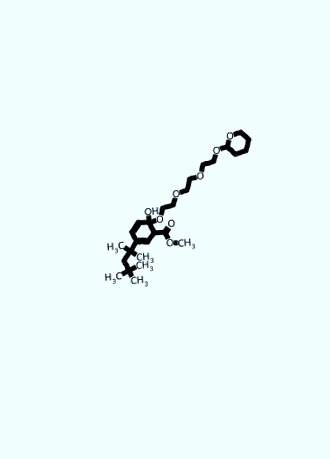 COC(=O)C1C=C(C(C)(C)CC(C)(C)C)C=CC1(O)OCCOCCOCCOC1CCCCO1